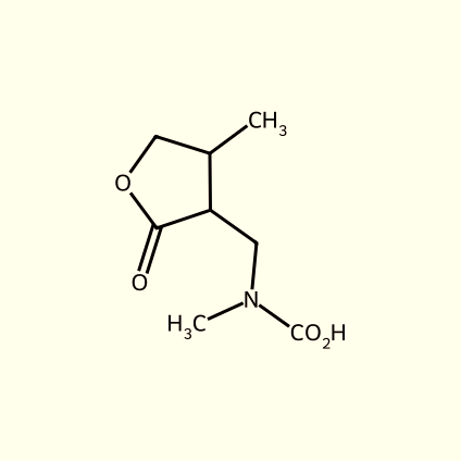 CC1COC(=O)C1CN(C)C(=O)O